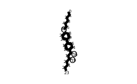 CCCCCCOc1ccc(-c2ccc(C(=O)CC(=O)CCCC)cc2)cc1